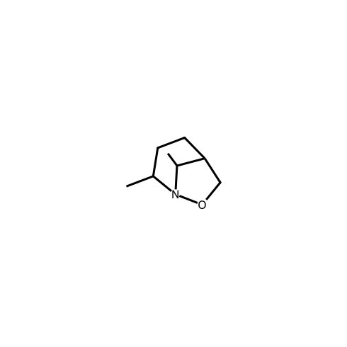 CC1CCC2CON1C2C